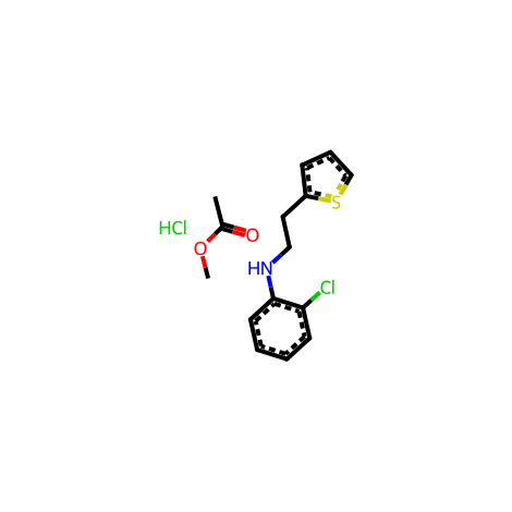 COC(C)=O.Cl.Clc1ccccc1NCCc1cccs1